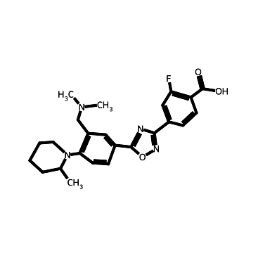 CC1CCCCN1c1ccc(-c2nc(-c3ccc(C(=O)O)c(F)c3)no2)cc1CN(C)C